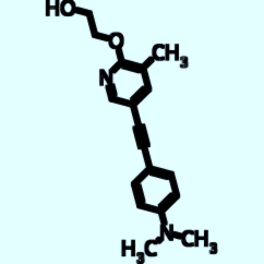 Cc1cc(C#Cc2ccc(N(C)C)cc2)cnc1OCCO